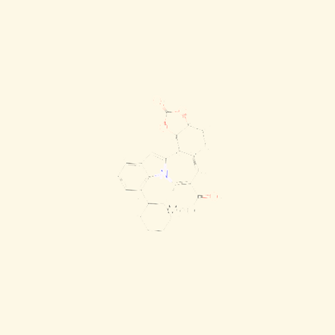 COC(=O)C1=Cn2c(cc3cccc(C4CCCCC4)c32)C2C(=C1)CCC1OC(=O)OC12